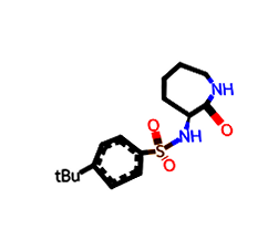 CC(C)(C)c1ccc(S(=O)(=O)N[C@H]2CCCCNC2=O)cc1